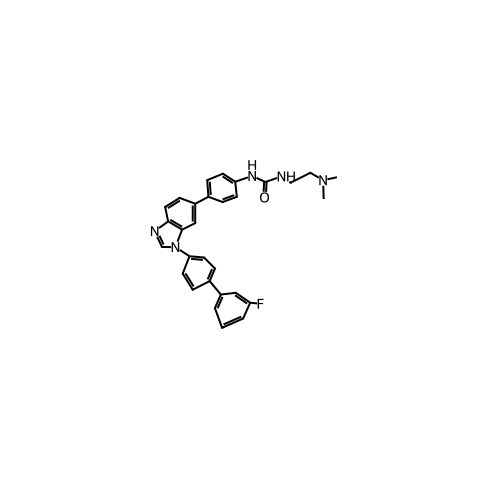 CN(C)CCNC(=O)Nc1ccc(-c2ccc3ncn(-c4ccc(-c5cccc(F)c5)cc4)c3c2)cc1